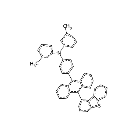 Cc1cccc(N(c2ccc(-c3c4ccccc4c(-c4cccc5sc6ccccc6c45)c4ccccc34)cc2)c2cccc(C)c2)c1